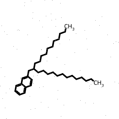 CCCCCCCCCCCCCC(CCCCCCCCCCC)Cc1[c]c2ccccc2cc1